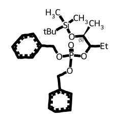 CCC(OP(=O)(OCc1ccccc1)OCc1ccccc1)[C@H](C)O[Si](C)(C)C(C)(C)C